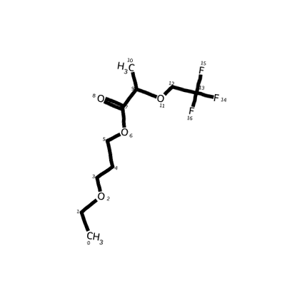 CCOCCCOC(=O)C(C)OCC(F)(F)F